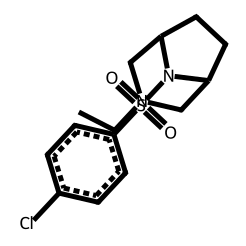 CCN1CC2CCC(C1)N2S(=O)(=O)c1ccc(Cl)cc1